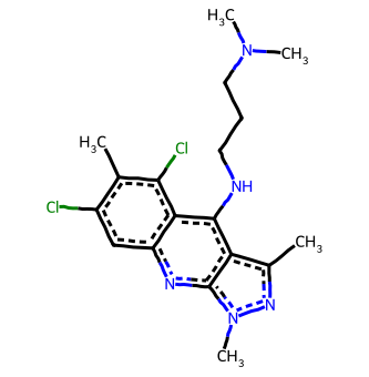 Cc1c(Cl)cc2nc3c(c(C)nn3C)c(NCCCN(C)C)c2c1Cl